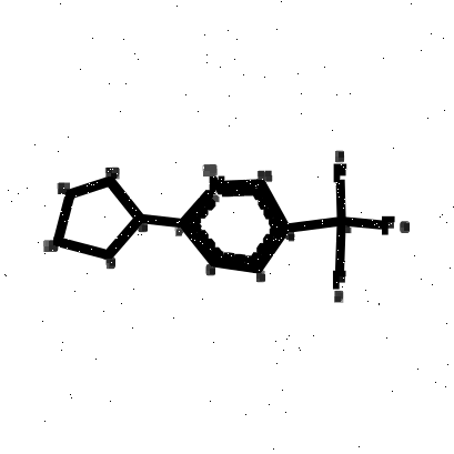 FC(F)(F)c1ccc(C2CCCC2)nc1